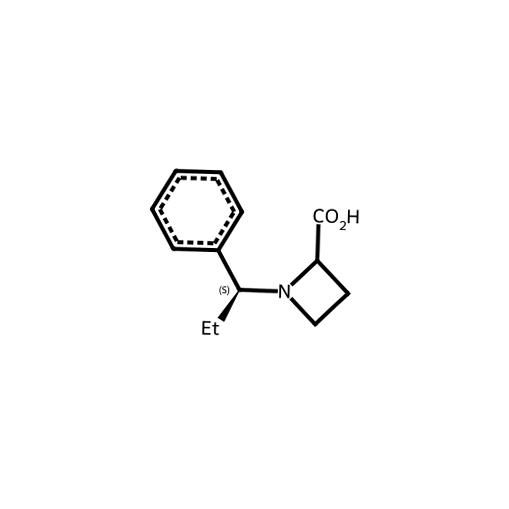 CC[C@@H](c1ccccc1)N1CCC1C(=O)O